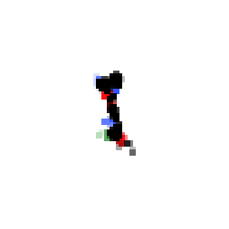 FC(F)(F)Oc1cc(Cl)cc(CNCCCCOCCOc2nc3ccccc3c3cnccc23)c1